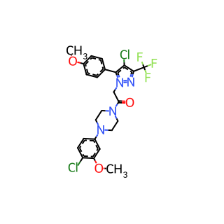 COc1ccc(-c2c(Cl)c(C(F)(F)F)nn2CC(=O)N2CCN(c3ccc(Cl)c(OC)c3)CC2)cc1